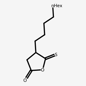 CCCCCCCCCCC1CC(=O)OC1=S